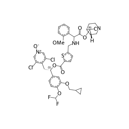 COc1ccccc1C(NCc1ccc(C(=O)O[C@@H](Cc2c(Cl)c[n+]([O-])cc2Cl)c2ccc(OC(F)F)c(OCC3CC3)c2)s1)C(=O)O[C@H]1CN2CCC1CC2